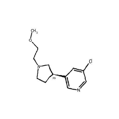 COCCN1CC[C@H](c2cncc(Cl)c2)C1